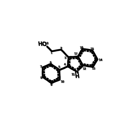 OCCc1c(-c2ccccc2)[nH]c2ccccc12